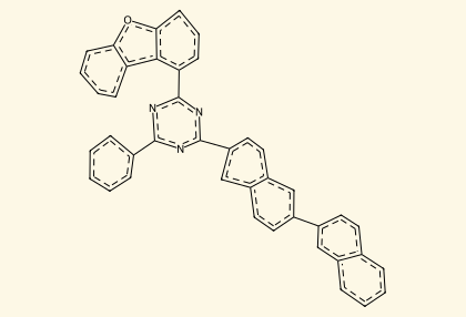 c1ccc(-c2nc(-c3ccc4cc(-c5ccc6ccccc6c5)ccc4c3)nc(-c3cccc4oc5ccccc5c34)n2)cc1